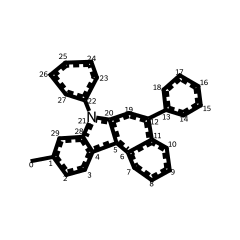 Cc1ccc2c3c4ccccc4c(-c4ccccc4)cc3n(-c3ccccc3)c2c1